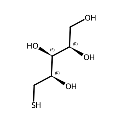 OC[C@@H](O)[C@H](O)[C@@H](O)CS